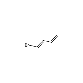 C=CC=CBr